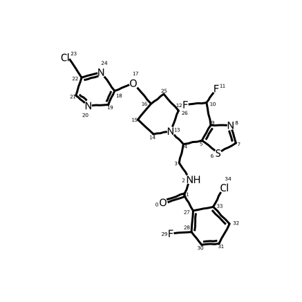 O=C(NCC(c1scnc1C(F)F)N1CCC(Oc2cncc(Cl)n2)CC1)c1c(F)cccc1Cl